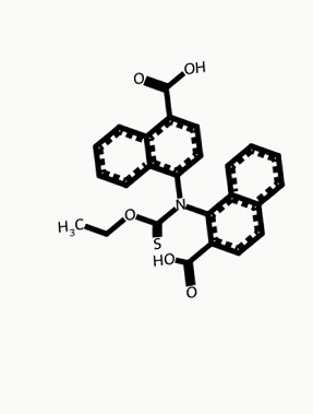 CCOC(=S)N(c1c(C(=O)O)ccc2ccccc12)c1ccc(C(=O)O)c2ccccc12